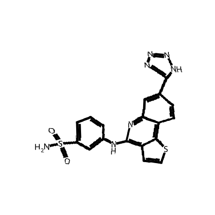 NS(=O)(=O)c1cccc(Nc2nc3cc(-c4nnn[nH]4)ccc3c3sccc23)c1